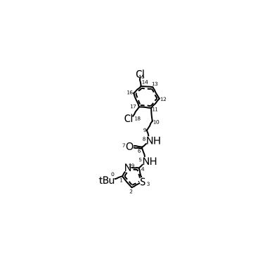 CC(C)(C)c1csc(NC(=O)NCCc2ccc(Cl)cc2Cl)n1